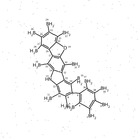 Bc1c(B)c(B)c(-c2c(B)c(B)c3[nH]c4c(B)c5c(oc6c(B)c(B)c(B)c(B)c65)c(B)c4c3c2B)c(B)c1B